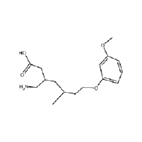 COc1cccc(OCCC(C)CC(CN)CC(=O)O)c1